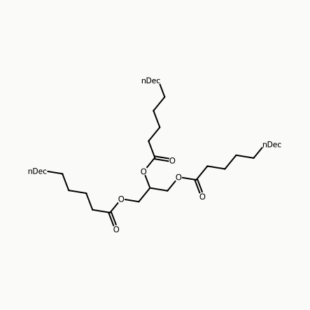 CCCCCCCCCCCCCCC(=O)OCC(COC(=O)CCCCCCCCCCCCCC)OC(=O)CCCCCCCCCCCCCC